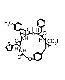 O=C1COc2ccc(cc2)C[C@@H](C(=O)O)NC(=O)[C@H](Cc2ccccc2)NC(=O)[C@@H](Cc2ccc(C(F)(F)F)cc2)NC(=O)[C@H](Cc2cccs2)N1